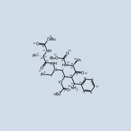 CCCCC(=O)OC(CN(CC(C)C)NC(=O)[C@@H](NC(=O)OCC(C)C)C(C)C)C(C(=O)[C@@H](NC(=O)OCC(C)C)C(C)C)C(N)c1ccccc1